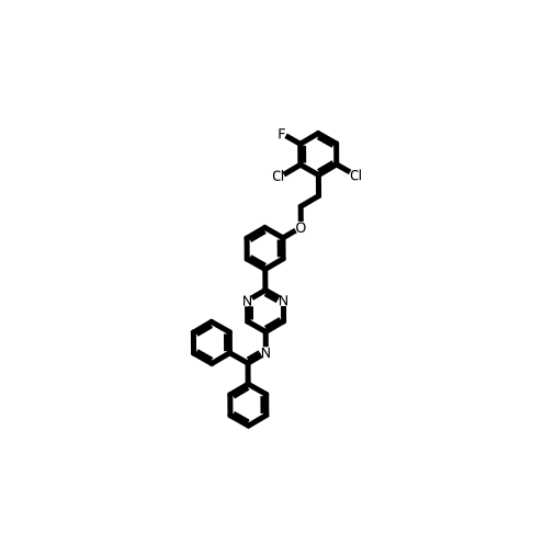 Fc1ccc(Cl)c(CCOc2cccc(-c3ncc(N=C(c4ccccc4)c4ccccc4)cn3)c2)c1Cl